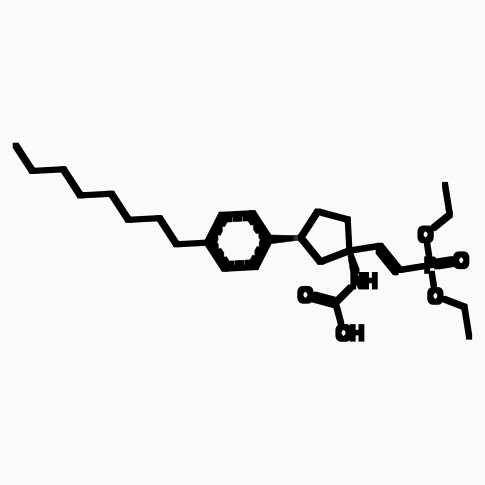 CCCCCCCCc1ccc([C@H]2CC[C@@](C=CP(=O)(OCC)OCC)(NC(=O)O)C2)cc1